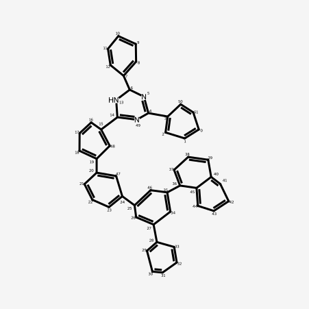 c1ccc(C2=NC(c3ccccc3)NC(c3cccc(-c4cccc(-c5cc(-c6ccccc6)cc(-c6cccc7ccccc67)c5)c4)c3)=N2)cc1